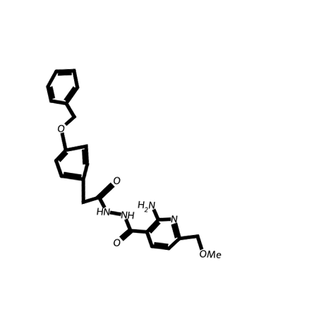 COCc1ccc(C(=O)NNC(=O)Cc2ccc(OCc3ccccc3)cc2)c(N)n1